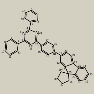 c1ccc(-c2nc(-c3ccccc3)nc(-c3ccc(-c4ccc5c(c4)C4(CCCC4)c4ccccc4-5)cc3)n2)cc1